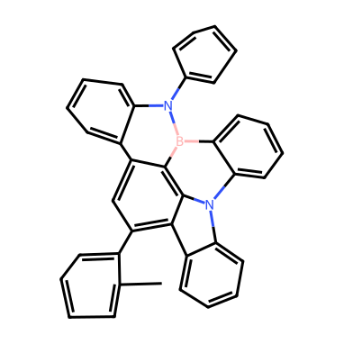 Cc1ccccc1-c1cc2c3c4c1c1ccccc1n4-c1ccccc1B3N(c1ccccc1)c1ccccc1-2